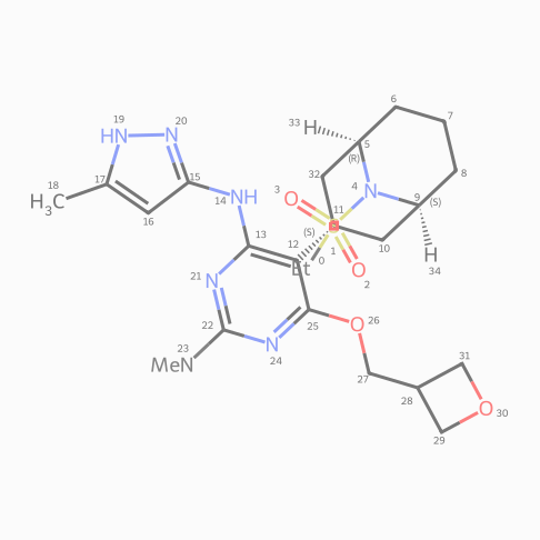 CCS(=O)(=O)N1[C@@H]2CCC[C@H]1C[C@H](c1c(Nc3cc(C)[nH]n3)nc(NC)nc1OCC1COC1)C2